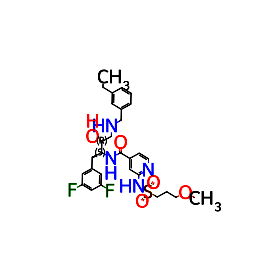 CCc1cccc(CNC[C@@H](O)[C@H](Cc2cc(F)cc(F)c2)NC(=O)c2ccnc(NS(=O)(=O)CCCOC)c2)c1